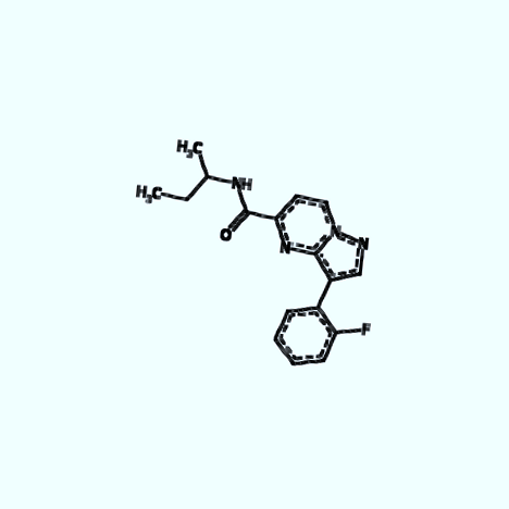 CCC(C)NC(=O)c1ccn2ncc(-c3ccccc3F)c2n1